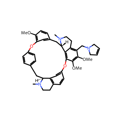 COc1ccc2cc1Oc1ccc(cc1)C[C@H]1c3cc(ccc3CCN1C)Oc1c(OC)c(OC)c(CN3CC=CC3)c3c1[C@H](C2)N(C)CC3